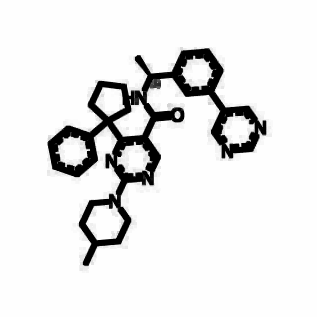 CC1CCN(c2ncc(C(=O)N[C@@H](C)c3cccc(-c4cncnc4)c3)c(C3(c4ccccc4)CCCC3)n2)CC1